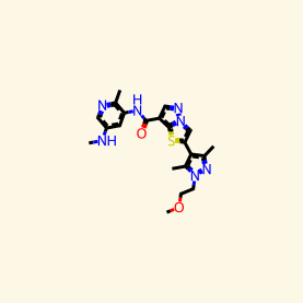 CNc1cnc(C)c(NC(=O)c2cnn3cc(-c4c(C)nn(CCOC)c4C)sc23)c1